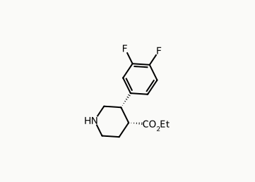 CCOC(=O)[C@@H]1CCNC[C@@H]1c1ccc(F)c(F)c1